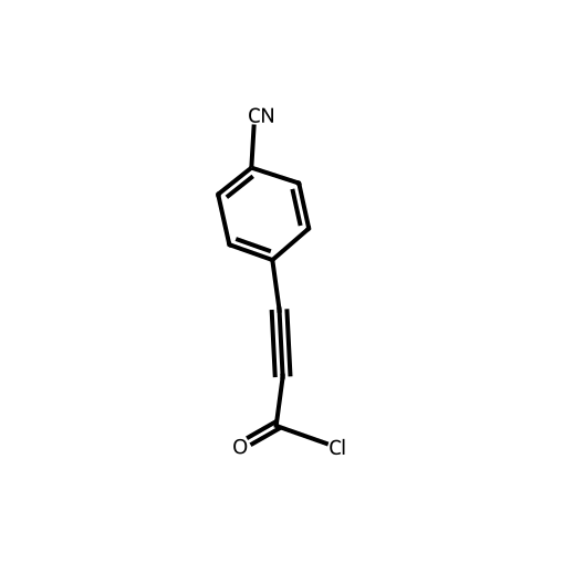 N#Cc1ccc(C#CC(=O)Cl)cc1